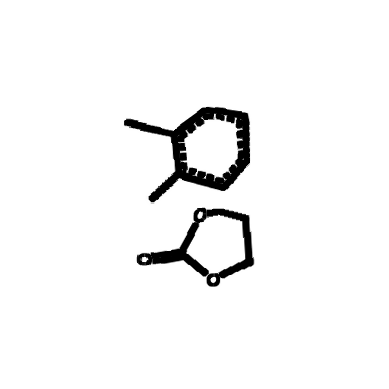 Cc1ccccc1C.O=C1OCCO1